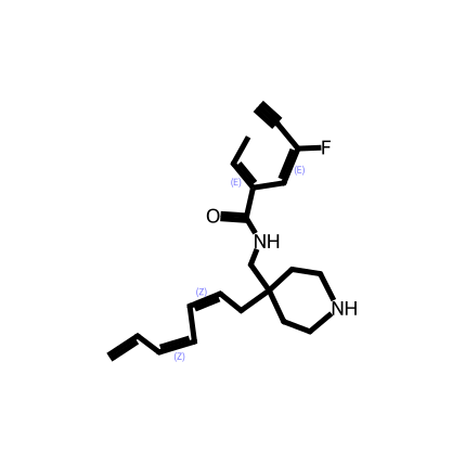 C#C/C(F)=C\C(=C/C)C(=O)NCC1(C/C=C\C=C/C=C)CCNCC1